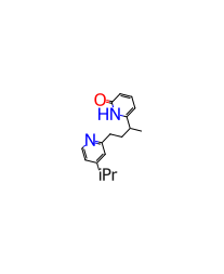 CC(C)c1ccnc(CCC(C)c2cccc(=O)[nH]2)c1